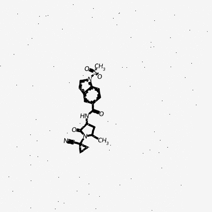 CC1CC(NC(=O)c2ccc3c(ccn3S(C)(=O)=O)c2)C(=O)N1C1(C#N)CC1